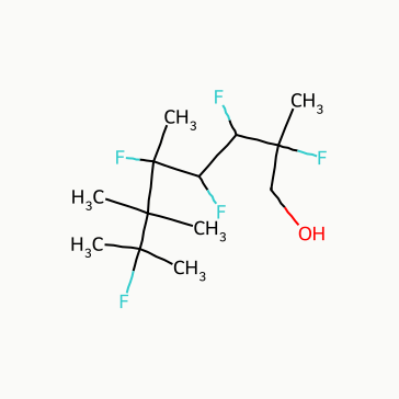 CC(F)(CO)C(F)C(F)C(C)(F)C(C)(C)C(C)(C)F